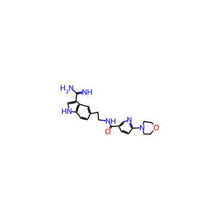 N=C(N)c1c[nH]c2ccc(CCNC(=O)c3ccc(N4CCOCC4)nc3)cc12